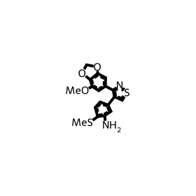 COc1cc(-c2nscc2-c2ccc(SC)c(N)c2)cc2c1OCO2